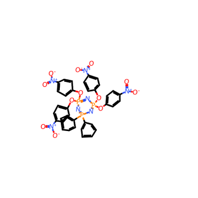 O=[N+]([O-])c1ccc(OP2(Oc3ccc([N+](=O)[O-])cc3)=NP(Oc3ccc([N+](=O)[O-])cc3)(Oc3ccc([N+](=O)[O-])cc3)=NP(c3ccccc3)(c3ccccc3)=N2)cc1